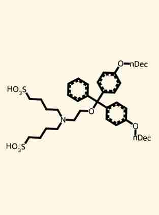 CCCCCCCCCCOc1ccc(C(OCCN(CCCCS(=O)(=O)O)CCCCS(=O)(=O)O)(c2ccccc2)c2ccc(OCCCCCCCCCC)cc2)cc1